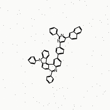 c1ccc(-c2nc(-c3ccc(-c4ccc5nc(-c6ccccc6)c6ccc7c(c8ccccc8n7-c7ccccc7)c6c5c4)cc3)cc(-c3ccc4ccccc4c3)n2)cc1